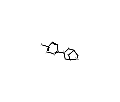 Clc1ccc(N2CC3CNC(C3)C2)nn1